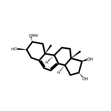 CO[C@@H]1C[C@@]2(C)C(=CC=C3[C@@H]4C[C@@H](O)[C@H](O)[C@@]4(C)CC[C@@H]32)C[C@H]1O